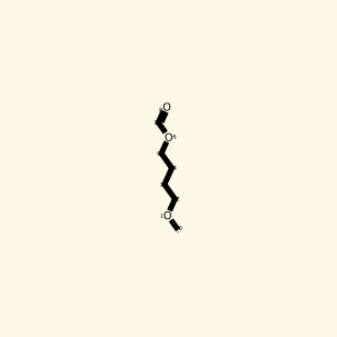 [CH2]OCCCCO[C]=O